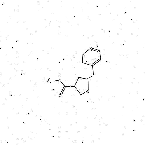 COC(=O)C1CCN(Cc2ccccc2)C1